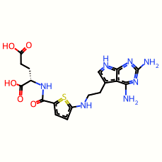 Nc1nc(N)c2c(CCNc3ccc(C(=O)N[C@@H](CCC(=O)O)C(=O)O)s3)c[nH]c2n1